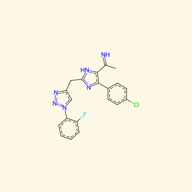 CC(=N)c1[nH]c(Cc2cn(-c3ccccc3F)nn2)nc1-c1ccc(Cl)cc1